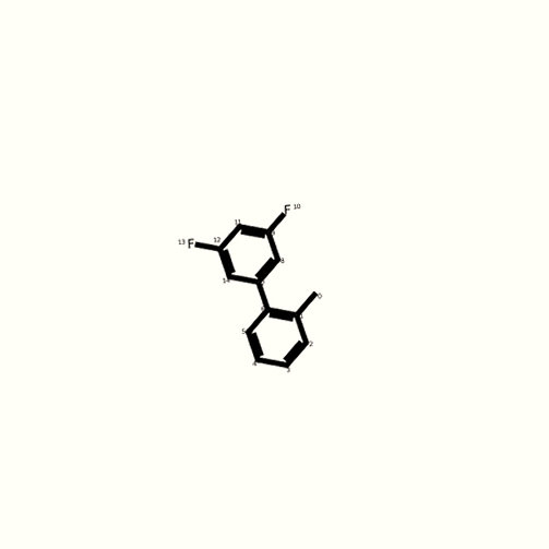 Cc1ccc[c]c1-c1cc(F)cc(F)c1